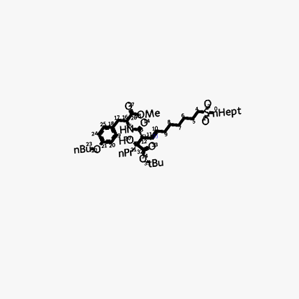 CCCCCCCS(=O)(=O)CCCCCC/C=C/[C@H](C(=O)NC(Cc1ccc(OCCCC)cc1)C(=O)OC)[C@@](O)(CCC)C(=O)OC(C)(C)C